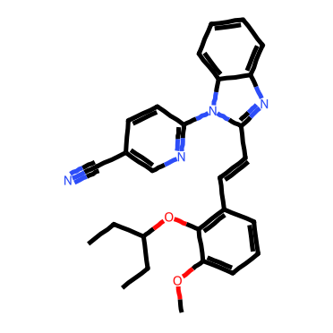 CCC(CC)Oc1c(C=Cc2nc3ccccc3n2-c2ccc(C#N)cn2)cccc1OC